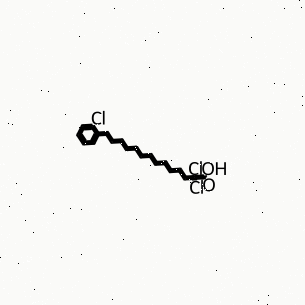 O=C(O)C(Cl)(Cl)CCCCCCCCCCCCc1ccccc1Cl